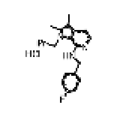 Cc1c(C)n(CC(C)C)c2c(NCc3ccc(F)cc3)nccc12.Cl